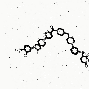 C[C@H]1CC2(CCN(c3ccc(C(=O)N4CCC(CN5CCN(c6cccc(NC7CCC(=O)NC7=O)c6)CC5)CC4)nn3)CC2)CN1c1ccc(N)c(Cl)c1